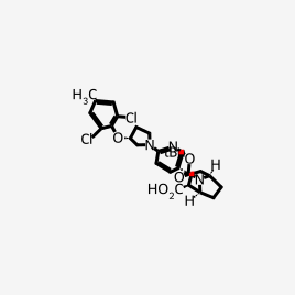 Cc1cc(Cl)c(O[C@@H]2CCN(c3ccc([C@@H]4C[C@H]5CC[C@@H]([C@H]4C(=O)O)N5C(=O)OC(C)(C)C)cn3)C2)c(Cl)c1